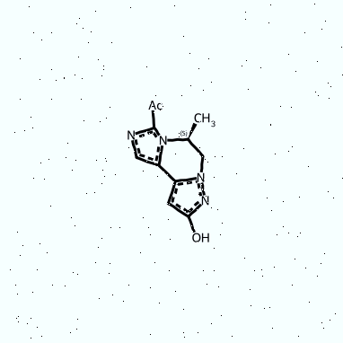 CC(=O)c1ncc2n1[C@@H](C)Cn1nc(O)cc1-2